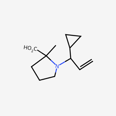 C=CC(C1CC1)N1CCCC1(C)C(=O)O